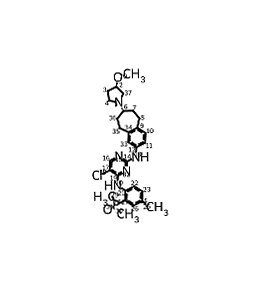 CO[C@@H]1CCN([C@@H]2CCc3ccc(Nc4ncc(Cl)c(Nc5ccc(C)cc5P(C)(C)=O)n4)cc3CC2)C1